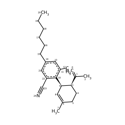 C=C(C)[C@H]1CCC(C)=C[C@H]1c1c(C)cc(CCCCCC)cc1C#N